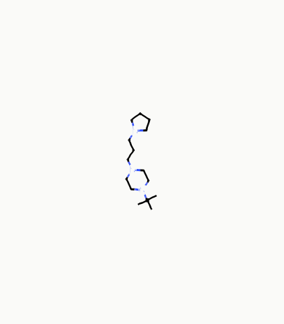 CC(C)(C)N1CCN(CCCN2CCCC2)CC1